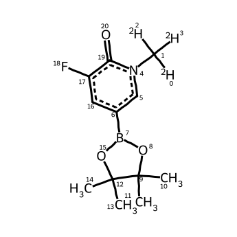 [2H]C([2H])([2H])n1cc(B2OC(C)(C)C(C)(C)O2)cc(F)c1=O